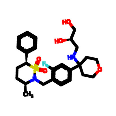 C[C@H]1CC[C@H](c2ccccc2)S(=O)(=O)N1Cc1ccc(C2(NC[C@@H](O)CO)CCOCC2)cc1F